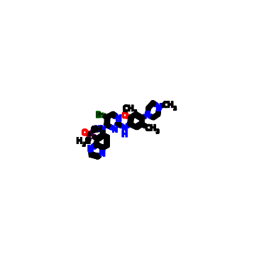 COc1cc(N2CCN(C)CC2)c(C)cc1Nc1ncc(Br)c(Nc2ccc3nccnc3c2P(C)(C)=O)n1